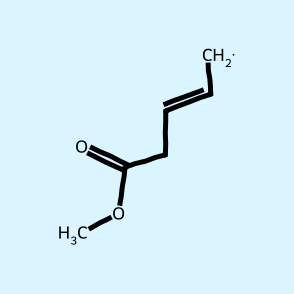 [CH2]/C=C/CC(=O)OC